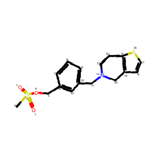 CS(=O)(=O)OCc1cccc(CN2CCc3sccc3C2)c1